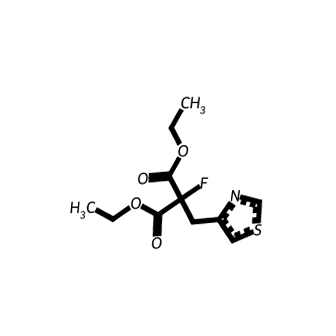 CCOC(=O)C(F)(Cc1cscn1)C(=O)OCC